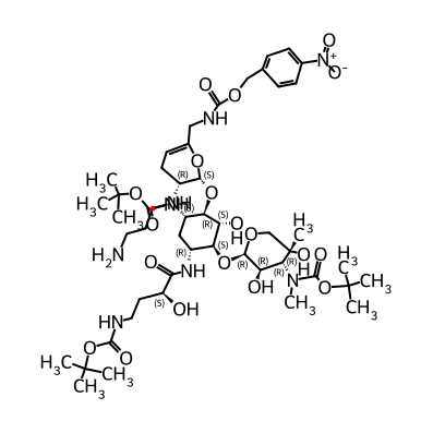 CN(C(=O)OC(C)(C)C)[C@@H]1[C@@H](O)[C@@H](O[C@@H]2[C@@H](O)[C@H](O[C@H]3OC(CNC(=O)OCc4ccc([N+](=O)[O-])cc4)=CC[C@H]3NCCCN)[C@@H](NC(=O)OC(C)(C)C)C[C@H]2NC(=O)[C@@H](O)CCNC(=O)OC(C)(C)C)OC[C@]1(C)O